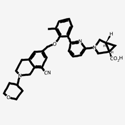 Cc1cccc(-c2cccc(N3C[C@@H]4C[C@]4(C(=O)O)C3)n2)c1OCc1cc(C#N)c2c(c1)CCN(C1CCOCC1)C2